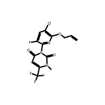 C=CCOc1nc(-n2c(=O)cc(C(F)(F)F)n(C)c2=O)c(F)cc1Cl